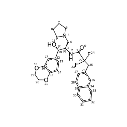 O=C(N[C@H](CN1CCCC1)[C@H](O)c1ccc2c(c1)OCCO2)C(F)(F)Cc1ccc2ccccc2c1